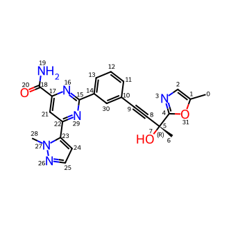 Cc1cnc([C@](C)(O)C#Cc2cccc(-c3nc(C(N)=O)cc(-c4ccnn4C)n3)c2)o1